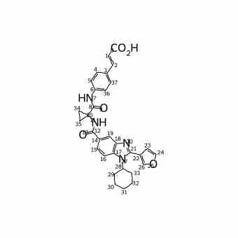 O=C(O)C=Cc1ccc(NC(=O)C2(NC(=O)c3ccc4c(c3)nc(-c3ccoc3)n4C3CCCCC3)CC2)cc1